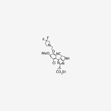 CCOC(=O)CSc1nc2c(c(-c3cc(OCCN4CCC(F)(F)C4)c(OC)cc3Cl)n1)C(C#N)CN2